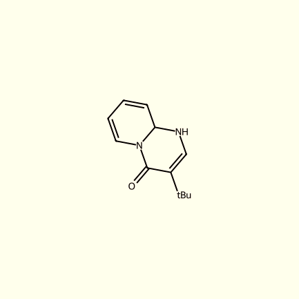 CC(C)(C)C1=CNC2C=CC=CN2C1=O